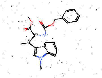 COC(=O)[C@H](NC(=O)OCc1ccccc1)[C@H](C)c1cn(C)c2ccccc12